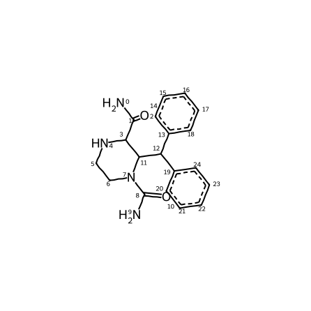 NC(=O)C1NCCN(C(N)=O)C1C(c1ccccc1)c1ccccc1